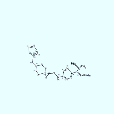 CN/C=C(\C(C)=N)c1cnc(NCC2CC23CCN(CC2CC4C=CC2C4)CC3)cn1